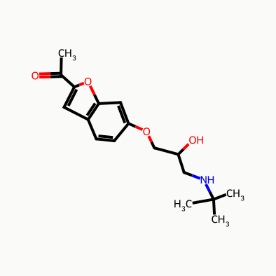 CC(=O)c1cc2ccc(OCC(O)CNC(C)(C)C)cc2o1